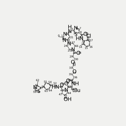 Cc1nc(Nc2ncc(C(=O)Nc3c(C)cccc3Cl)s2)cc(N2CCN(C(=O)CCOCCOCCC(=O)N[C@H](C(=O)N3C[C@H](O)C[C@H]3C(=O)NCc3ccc(-c4scnc4C)cc3)C(C)(C)C)CC2)n1